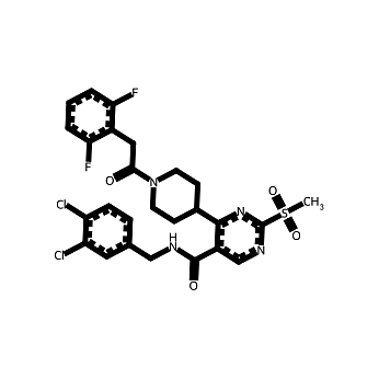 CS(=O)(=O)c1ncc(C(=O)NCc2ccc(Cl)c(Cl)c2)c(C2CCN(C(=O)Cc3c(F)cccc3F)CC2)n1